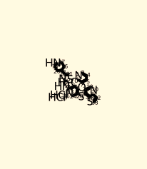 Cc1ncccc1Oc1cc(Nc2nc(C3CCNCC3)cs2)ncc1Sc1ccnc2ccsc12.Cl.Cl